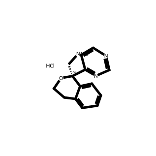 CNC[C@@]1(c2ccncn2)OCCc2ccccc21.Cl